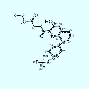 CCOC(=O)CCC(=O)c1nc2c(-c3ccc(OC(F)(F)F)nc3)cccc2cc1O